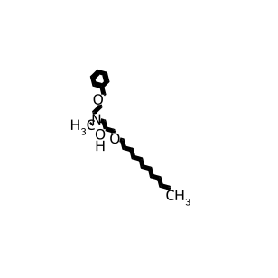 CCCCCCCCCCCCOCC(O)CN(C)CCOCc1ccccc1